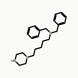 c1ccc(CN(CCCCCN2CCNCC2)Cc2ccccc2)cc1